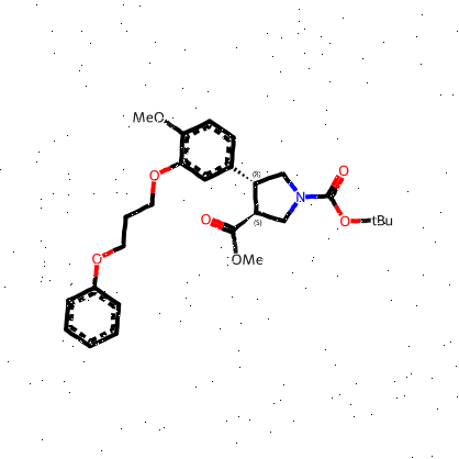 COC(=O)[C@@H]1CN(C(=O)OC(C)(C)C)C[C@H]1c1ccc(OC)c(OCCCOc2ccccc2)c1